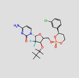 CC(C)(C)[Si](C)(C)O[C@@H]1C(CO[P@]2(=O)OCC[C@H](c3cccc(Cl)c3)O2)O[C@@H](n2ccc(N)nc2=O)C1(F)F